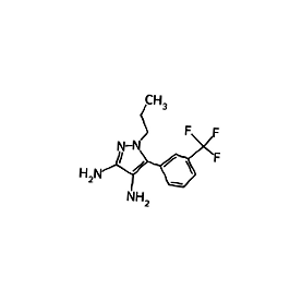 CCCn1nc(N)c(N)c1-c1cccc(C(F)(F)F)c1